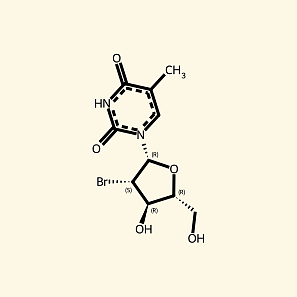 Cc1cn([C@@H]2O[C@H](CO)[C@@H](O)[C@@H]2Br)c(=O)[nH]c1=O